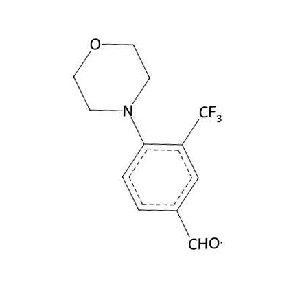 O=[C]c1ccc(N2CCOCC2)c(C(F)(F)F)c1